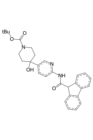 CC(C)(C)OC(=O)N1CCC(O)(c2ccc(NC(=O)C3c4ccccc4-c4ccccc43)nc2)CC1